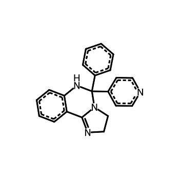 c1ccc(C2(c3ccncc3)Nc3ccccc3C3=NCCN32)cc1